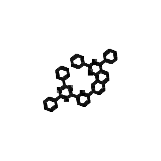 c1ccc(-c2nc(-c3ccccc3)nc(-c3cccc(-c4ccc5ccc6c(-c7ccccc7)nc(-c7ccccc7)nc6c5c4)n3)n2)cc1